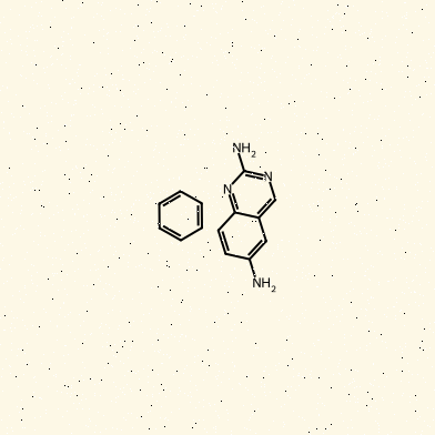 Nc1ccc2nc(N)ncc2c1.c1ccccc1